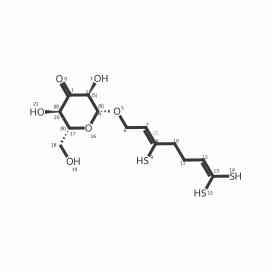 O=C1[C@@H](O)[C@H](OC/C=C(\S)CCC=C(S)S)O[C@H](CO)[C@H]1O